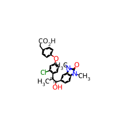 C[C@@H](c1ccc(Oc2ccc(CC(=O)O)cc2)cc1Cl)[C@H](O)c1ccc2c(c1)n(C)c(=O)n2C